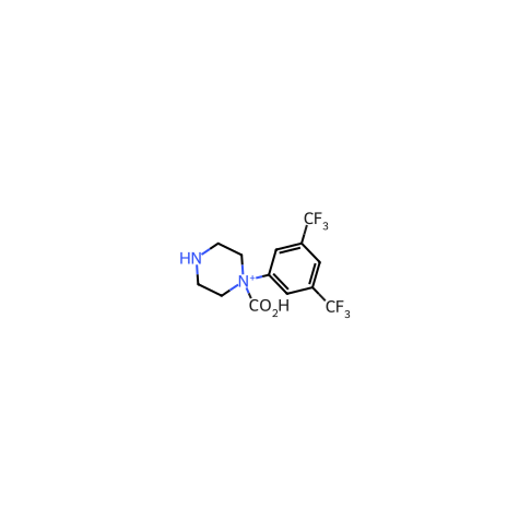 O=C(O)[N+]1(c2cc(C(F)(F)F)cc(C(F)(F)F)c2)CCNCC1